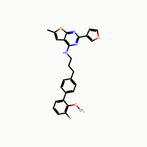 Cc1cc2c(NCCCc3ccc(-c4cccc(F)c4OC(F)(F)F)cc3)nc(-c3ccoc3)nc2s1